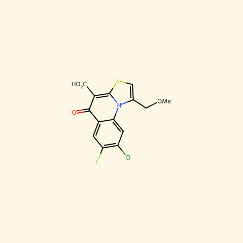 COCc1csc2c(C(=O)O)c(=O)c3cc(F)c(Cl)cc3n12